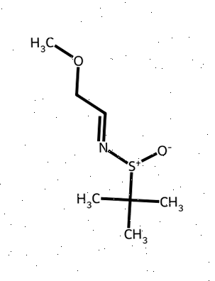 COCC=N[S+]([O-])C(C)(C)C